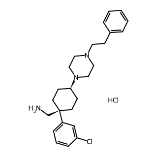 Cl.NC[C@]1(c2cccc(Cl)c2)CC[C@H](N2CCN(CCc3ccccc3)CC2)CC1